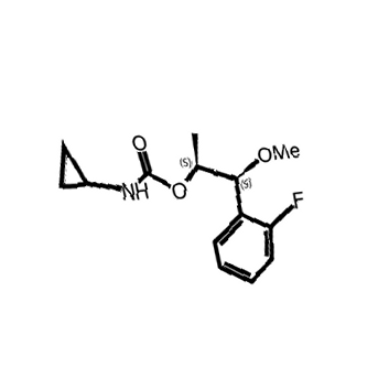 CO[C@@H](c1ccccc1F)[C@H](C)OC(=O)NC1CC1